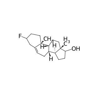 C[C@]12CCC(F)CC1=CC[C@@H]1[C@H]2CC[C@]2(C)C(O)CC[C@@H]12